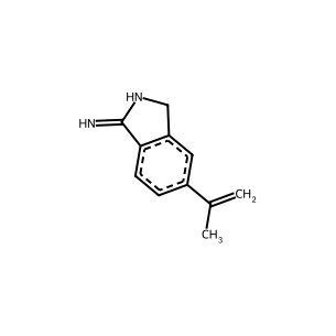 C=C(C)c1ccc2c(c1)CNC2=N